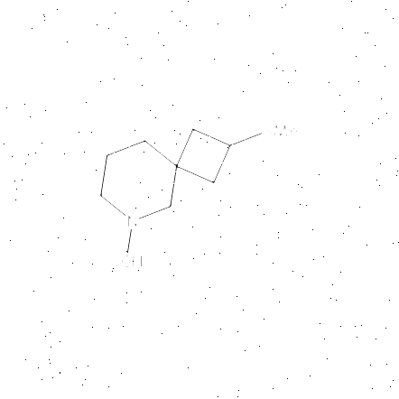 CSC1CC2(CCCN(C)C2)C1